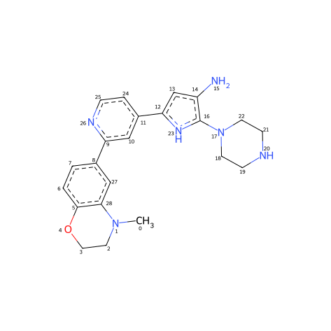 CN1CCOc2ccc(-c3cc(-c4cc(N)c(N5CCNCC5)[nH]4)ccn3)cc21